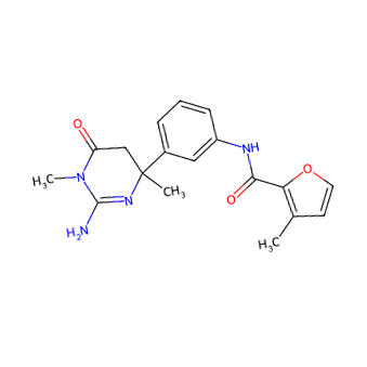 Cc1ccoc1C(=O)Nc1cccc(C2(C)CC(=O)N(C)C(N)=N2)c1